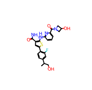 CC(CO)c1ccc(-c2cc(C(N)=O)c(Nc3cccc(C(=O)N4CC(O)C4)n3)s2)c(F)c1